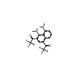 CN(C)c1cccc2c(C(=O)C(F)(F)F)cc(C(=O)C(F)(F)F)c(N(C)C)c12